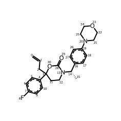 C=CCC1(c2ccc(F)cc2)CCN([C@@H](C)c2ccc(N3CCOCC3)cc2)C(=O)O1